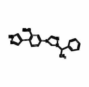 COc1cc(N2C=NN(C(C)c3ccccc3)C2)ccc1-c1cn[nH]c1